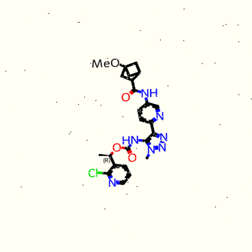 COC12CC(C1)C(C(=O)Nc1ccc(-c3nnn(C)c3NC(=O)O[C@H](C)c3cccnc3Cl)nc1)C2